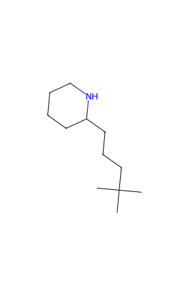 CC(C)(C)CCCC1CCCCN1